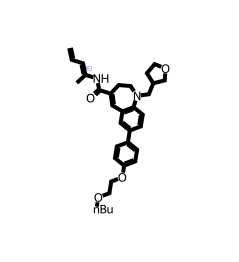 C=C/C=C(\C)NC(=O)C1=Cc2cc(-c3ccc(OCCOCCCC)cc3)ccc2N(CC2CCOC2)CC1